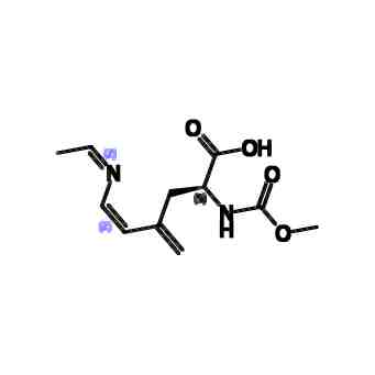 C=C(/C=C\N=C/C)C[C@H](NC(=O)OC)C(=O)O